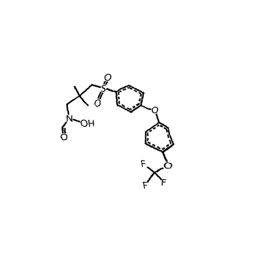 CC(C)(CN(O)C=O)CS(=O)(=O)c1ccc(Oc2ccc(OC(F)(F)F)cc2)cc1